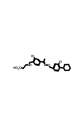 CCc1cc(/C(C)=N/OCc2ccc(C3CCCCC3)c(Cl)c2)ccc1CNCCC(=O)O